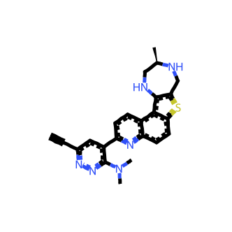 C#Cc1cc(-c2ccc3c(ccc4sc5c(c43)NC[C@@H](C)NC5)n2)c(N(C)C)nn1